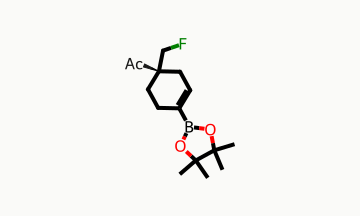 CC(=O)[C@@]1(CF)CC=C(B2OC(C)(C)C(C)(C)O2)CC1